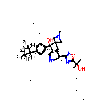 [2H]C([2H])([2H])C([2H])(c1ccc([C@](O)(c2cncc(-c3noc(C(C)(C)O)n3)c2)C2(C)CN(C)C2)cc1)C([2H])([2H])[2H]